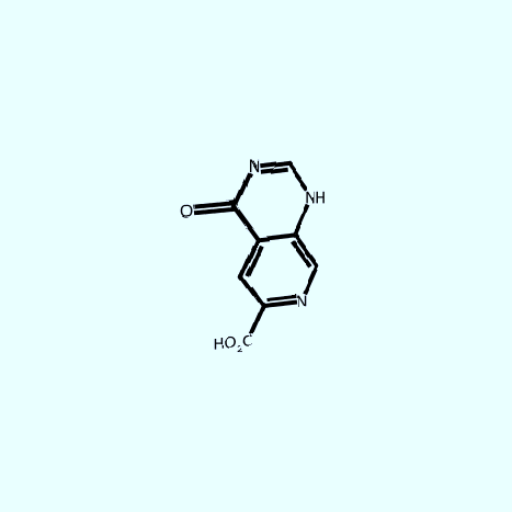 O=C(O)c1cc2c(=O)nc[nH]c2cn1